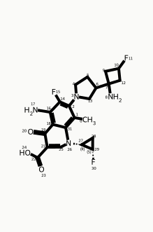 Cc1c(N2CCC(C3(N)CC(F)C3)C2)c(F)c(N)c2c(=O)c(C(=O)O)cn([C@@H]3C[C@@H]3F)c12